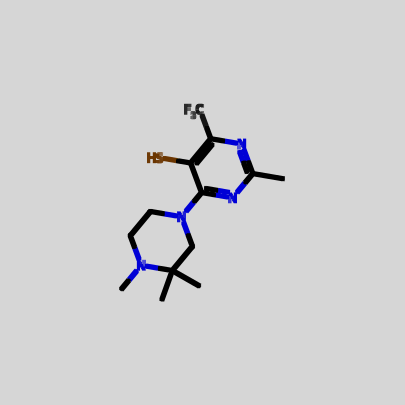 Cc1nc(N2CCN(C)C(C)(C)C2)c(S)c(C(F)(F)F)n1